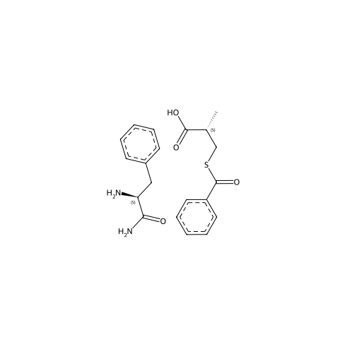 C[C@H](CSC(=O)c1ccccc1)C(=O)O.NC(=O)[C@@H](N)Cc1ccccc1